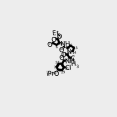 CCO[C@@H]1OC(=O)C[C@@H]1NC(=O)[C@@H]1CCCN1C(=O)C(C)NC(=O)c1ccc(OC(C)C)cc1Cl